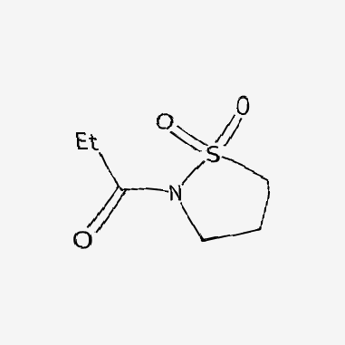 CCC(=O)N1CCCS1(=O)=O